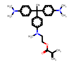 C=C(C)C(=O)OCCN(C)c1ccc(C(C#N)(c2ccc(N(C)C)cc2)c2ccc(N(C)C)cc2)cc1